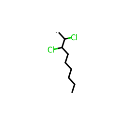 [CH2]C(Cl)C(Cl)CCCCCC